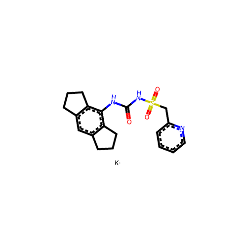 O=C(Nc1c2c(cc3c1CCC3)CCC2)NS(=O)(=O)Cc1ccccn1.[K]